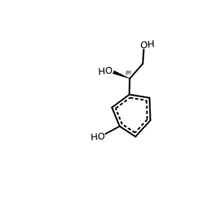 OC[C@H](O)c1cccc(O)c1